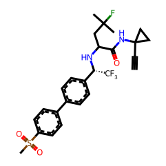 C#CC1(NC(=O)C(CC(C)(C)F)N[C@@H](c2ccc(-c3ccc(S(C)(=O)=O)cc3)cc2)C(F)(F)F)CC1